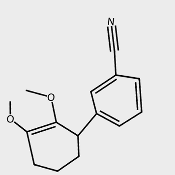 COC1=C(OC)C(c2cccc(C#N)c2)CCC1